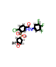 O=C(Nc1cc(F)c(F)c(F)c1)c1ccc(Cl)c(S(=O)(=O)C2CC3O[C@H]3C2)c1